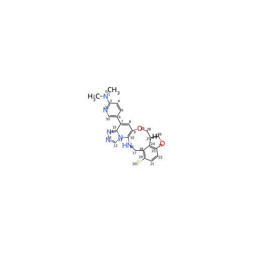 CN(C)c1ccc(-c2cc3c(n4cnnc24)NCc2c(F)ccc4c2[C@@H](CO4)CO3)cn1